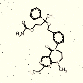 CSc1ncc2c(n1)N(C)CCN(c1cccc(CO[C@](C)(CCOC(N)=O)c3ccccc3)c1)C2=O